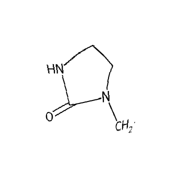 [CH2]N1CCNC1=O